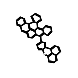 c1ccc(-c2c3ccccc3c(-c3ccc4c(c3)-c3cccc5cccc(c35)S4)c3ccccc23)c(-c2cccc3ccccc23)c1